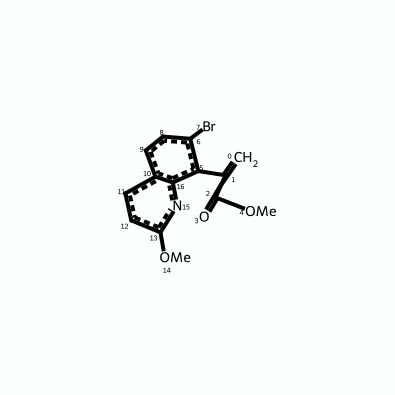 C=C(C(=O)OC)c1c(Br)ccc2ccc(OC)nc12